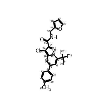 Cc1ccc(-c2cc(C(F)(F)F)n3nc(C(=O)NCc4ccco4)c(Cl)c3n2)cc1